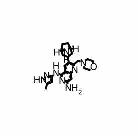 Cc1cc(Nc2nc(N)cc3nc(CN4CCOCC4)c(C4C[C@H]5CC[C@@H](C4)N5)cc23)n[nH]1